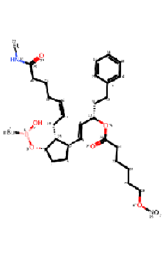 CCCCB(O)O[C@H]1CC[C@H](/C=C/[C@H](CCc2ccccc2)OC(=O)CCCCCO[N+](=O)[O-])[C@H]1C/C=C\CCCC(=O)NCC